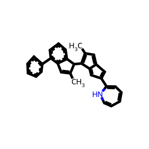 CC1=Cc2c(cccc2-c2ccccc2)[C]1C1=C(C)C=C2C=C(C3=CC=CC=CN3)C=C21